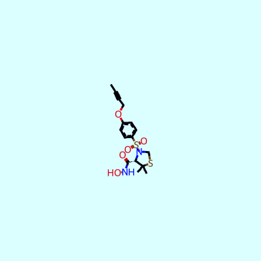 CC#CCOc1ccc(S(=O)(=O)N2CSC(C)(C)[C@@H]2C(=O)NO)cc1